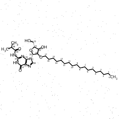 CCCCCCCCCCCCCCCCCCOC1C(O)[C@@H](CO)O[C@H]1n1cnc2c(=O)[nH]c(NC(=O)C(C)C)nc21